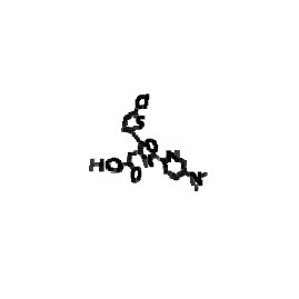 CN(C)c1ccc(-c2nc(CC(=O)O)c(-c3ccc(Cl)s3)o2)nc1